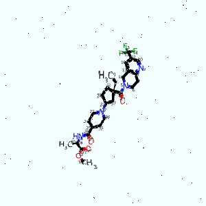 CC[C@]1(C(=O)N2CCc3ncc(C(F)(F)F)cc3C2)CCC(N2CCC(C(=O)N[C@H](C)C(=O)OC)CC2)C1